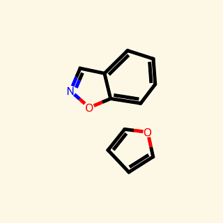 c1ccc2oncc2c1.c1ccoc1